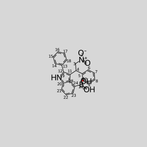 O=[N+]([O-])CC(c1ccccc1)c1c(-c2ccccc2)[nH]c2cccc(B(O)O)c12